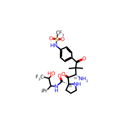 CC(C)C(NC(=O)[C@@]1(C(=O)[C@@H](N)C(C)(C)C(=O)c2ccc(NS(=O)(=O)C(F)(F)F)cc2)CCCN1)C(O)C(F)(F)F